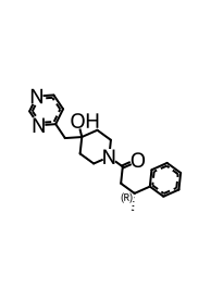 C[C@H](CC(=O)N1CCC(O)(Cc2ccncn2)CC1)c1ccccc1